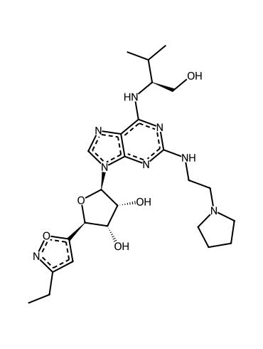 CCc1cc([C@H]2O[C@@H](n3cnc4c(N[C@H](CO)C(C)C)nc(NCCN5CCCC5)nc43)[C@H](O)[C@@H]2O)on1